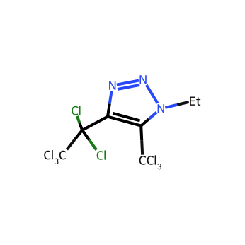 CCn1nnc(C(Cl)(Cl)C(Cl)(Cl)Cl)c1C(Cl)(Cl)Cl